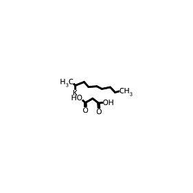 CCCCCCC[CH](C)[K].O=C(O)CC(=O)O